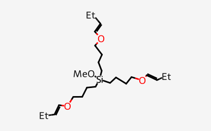 CCC=COCCCC[Si](CCCCOC=CCC)(CCCCOC=CCC)OC